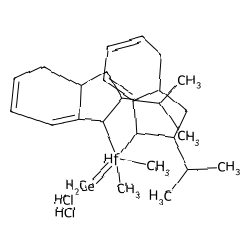 CC(C)C1CC2CC=CC=C2[CH]1[Hf]([CH3])([CH3])(=[GeH2])[CH]1C2=CC=CCC2CC1C(C)C.Cl.Cl